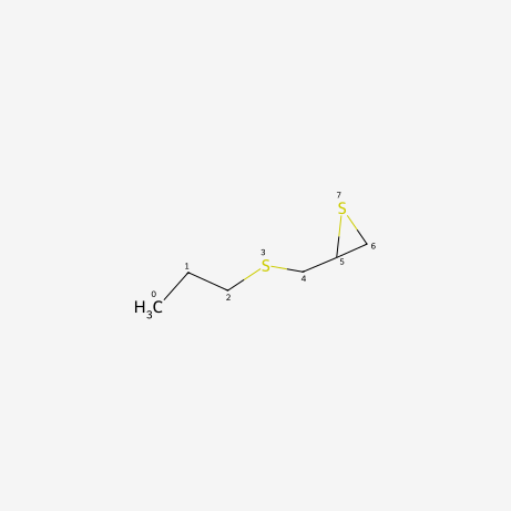 CCCSCC1CS1